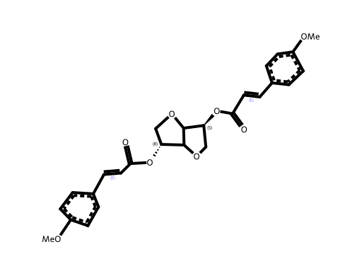 COc1ccc(/C=C/C(=O)O[C@H]2COC3C2OC[C@H]3OC(=O)/C=C/c2ccc(OC)cc2)cc1